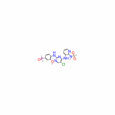 COc1cc(P(C)(C)=O)ccc1Nc1ncc(Cl)c(Nc2cccnc2N(C)S(C)(=O)=O)n1